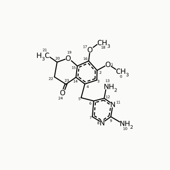 COc1cc(Cc2cnc(N)nc2N)c2c(c1OC)OC(C)CC2=O